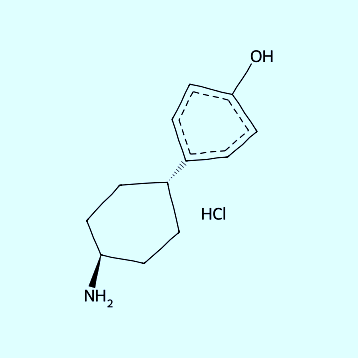 Cl.N[C@H]1CC[C@H](c2ccc(O)cc2)CC1